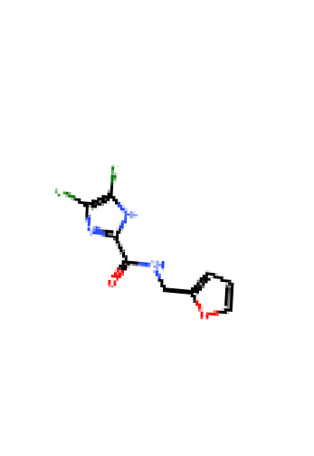 O=C(NCc1ccco1)c1nc(Cl)c(Cl)[nH]1